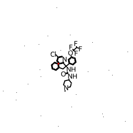 CN1CCC(NC(=O)NC(Cc2ccccc2)(c2cccc(OC(F)(F)C(F)F)c2)c2ccc(Cl)cn2)CC1